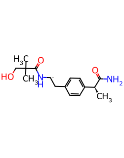 C[C@H](C(N)=O)c1ccc(C[CH]NC(=O)C(C)(C)CO)cc1